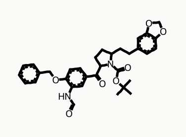 CC(C)(C)OC(=O)N1C(CCc2ccc3c(c2)OCO3)CCC1C(=O)c1ccc(OCc2ccccc2)c(NC=O)c1